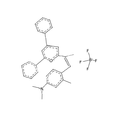 CC(=Cc1ccc(N(C)C)cc1C)c1cc(-c2ccccc2)cc(-c2ccccc2)[o+]1.F[B-](F)(F)F